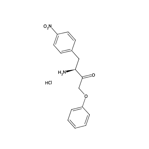 Cl.N[C@@H](Cc1ccc([N+](=O)[O-])cc1)C(=O)COc1ccccc1